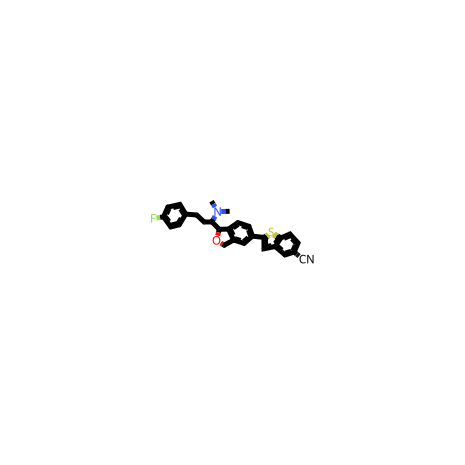 CN(C)C(CCc1ccc(F)cc1)C1OCc2cc(-c3cc4cc(C#N)ccc4s3)ccc21